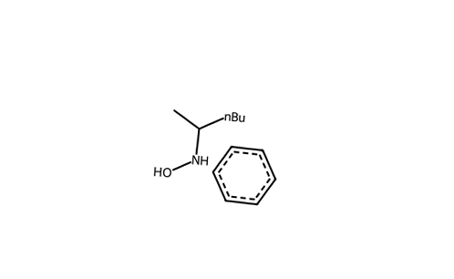 CCCCC(C)NO.c1ccccc1